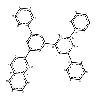 c1ccc(-c2cc(-c3ccc4ccccc4n3)cc(-c3nc(-c4ccccc4)nc(-c4ccccc4)n3)c2)cc1